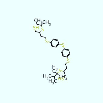 CCC(C)SC(CS)CCSc1ccc(Sc2ccc(SCCC(CS)SC(C)(C)C(C)C)cc2)cc1